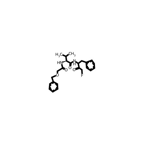 CC(C)[C@H](NC(=O)COCc1ccccc1)C(=O)NC(Cc1ccccc1)C(=O)CF